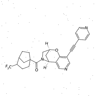 O=C(N1C[C@@H]2C[C@H]1c1cncc(C#Cc3ccncc3)c1O2)C12CCC(C1)C(C(F)(F)F)CC2